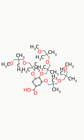 COCC(C)(C)COCC(C)(C)COc1cc(C(=O)O)cc(OCC(C)(C)COCC(C)(C)COC)c1OCC(C)(C)COCC(C)(C)COC